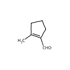 CC1=C([C]=O)CCC1